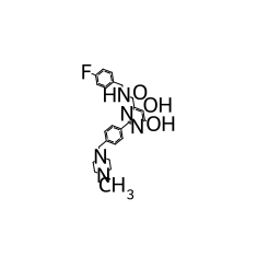 CN1CCN(Cc2ccc(-c3nc(O)c(O)c(C(=O)NCc4ccc(F)cc4)n3)cc2)CC1